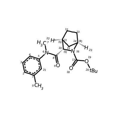 Cc1cccc(N(C)C(=O)[C@@H]2[C@H]3CC[C@H](C3)N2C(=O)OC(C)(C)C)c1